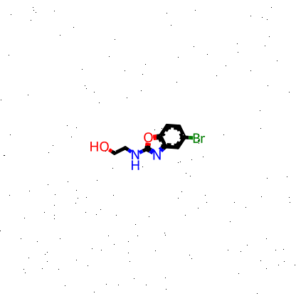 OCCNc1nc2cc(Br)ccc2o1